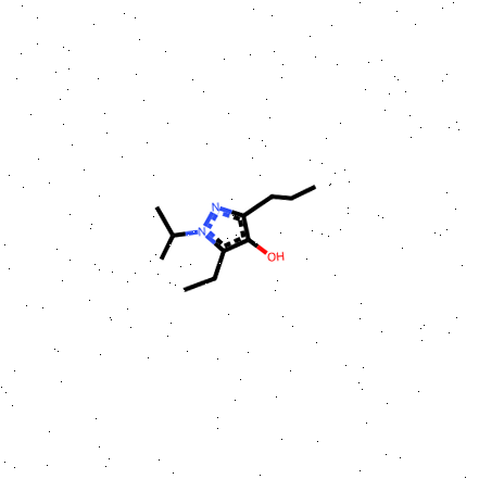 CCCc1nn(C(C)C)c(CC)c1O